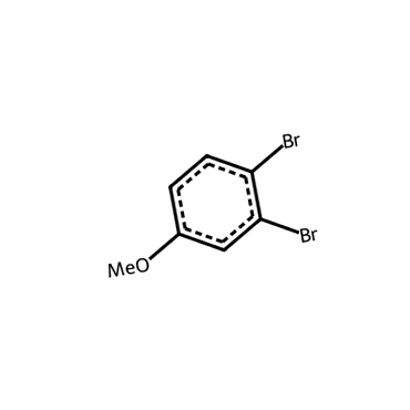 COc1ccc(Br)c(Br)c1